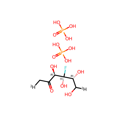 O=P(O)(O)O.O=P(O)(O)O.[2H]CC(=O)[C@@H](O)[C@@](O)(F)[C@H](O)C([2H])O